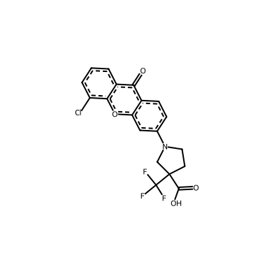 O=C(O)C1(C(F)(F)F)CCN(c2ccc3c(=O)c4cccc(Cl)c4oc3c2)C1